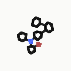 Brc1ccccc1N(c1ccccc1)c1ccc(-c2ccccc2-c2ccccc2)cc1